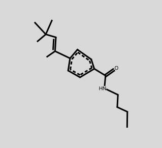 CCCCNC(=O)c1ccc(/C(C)=C/C(C)(C)C)cc1